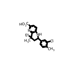 CCC1(C)CC(c2ccc(C)c(Cl)c2)Nc2ccc(C(=O)O)nc21